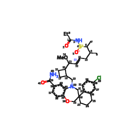 CCC(=O)N[S+]([O-])C(C)C(C)C/C=C/C(OC)C1CCC1CN1CC2(CCCc3cc(Cl)ccc32)COc2ccc(C(N)=O)cc21